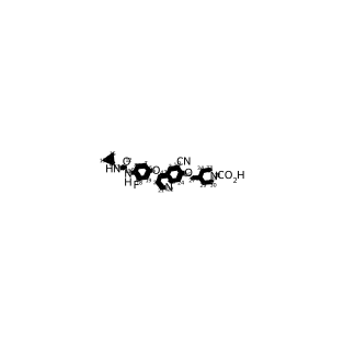 N#Cc1cc2c(Oc3ccc(NC(=O)NC4CC4)c(F)c3)ccnc2cc1OCC1CCN(C(=O)O)CC1